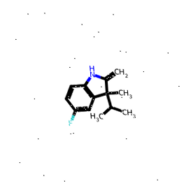 C=C1Nc2ccc(F)cc2C1(C)C(C)C